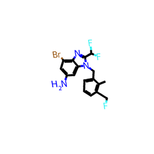 Cc1c(CF)cccc1Cn1c(C(F)F)nc2c(Br)cc(N)cc21